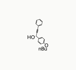 CCCCOc1ccc([C@H](O)C#Cc2ccccc2)cc1